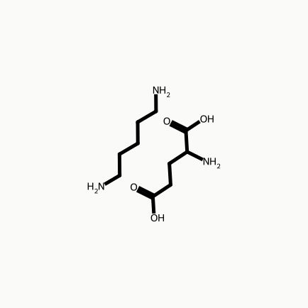 NC(CCC(=O)O)C(=O)O.NCCCCCN